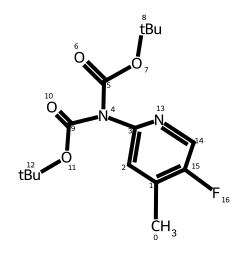 Cc1cc(N(C(=O)OC(C)(C)C)C(=O)OC(C)(C)C)ncc1F